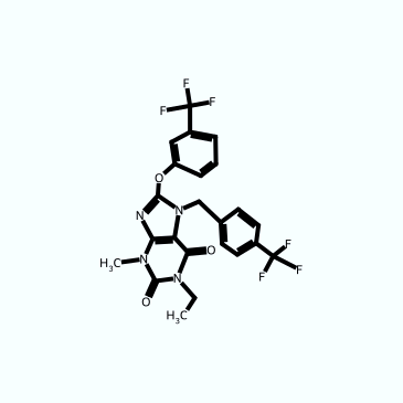 CCn1c(=O)c2c(nc(Oc3cccc(C(F)(F)F)c3)n2Cc2ccc(C(F)(F)F)cc2)n(C)c1=O